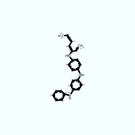 C=C/C(Bc1ccc(Bc2ccc(Bc3ccccc3)cc2)cc1)=C\C=C/C